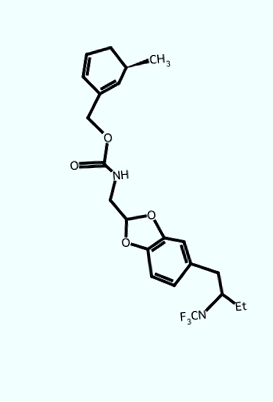 CCC(Cc1ccc2c(c1)OC(CNC(=O)OCC1=C[C@H](C)CC=C1)O2)NC(F)(F)F